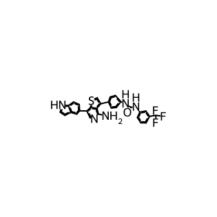 Nc1ncc(-c2ccc3[nH]ccc3c2)c2scc(-c3ccc(NC(=O)Nc4cccc(C(F)(F)F)c4)cc3)c12